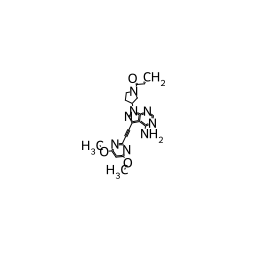 C=CC(=O)N1CCC(n2nc(C#Cc3nc(OC)cc(OC)n3)c3c(N)ncnc32)C1